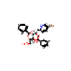 OC[C@H]1OC(c2ccccc2)O[C@@H]2[C@@H]1OC(c1ccccc1)O[C@@H]2Cc1ccc(Br)cn1